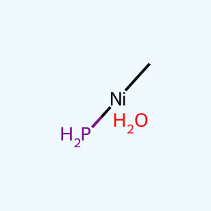 O.[CH3][Ni][PH2]